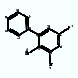 Fc1cc(Br)c(Br)c(-c2ccccc2)c1